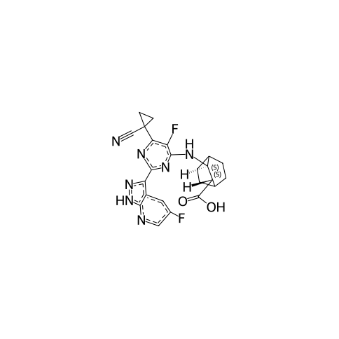 N#CC1(c2nc(-c3n[nH]c4ncc(F)cc34)nc(N[C@H]3C4CCC(CC4)[C@@H]3C(=O)O)c2F)CC1